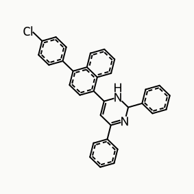 Clc1ccc(-c2ccc(C3=CC(c4ccccc4)=NC(c4ccccc4)N3)c3ccccc23)cc1